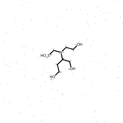 O=S(=O)(O)CN(CCO)C(CO)CCO